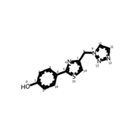 Oc1ccc(-c2nc(Cn3ccnn3)cs2)cc1